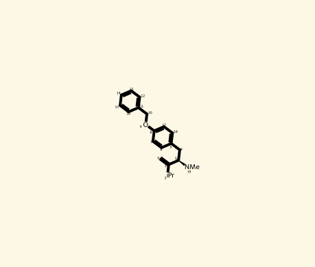 C=C(C(C)C)[C@@H](Cc1ccc(OCc2ccccc2)cc1)NC